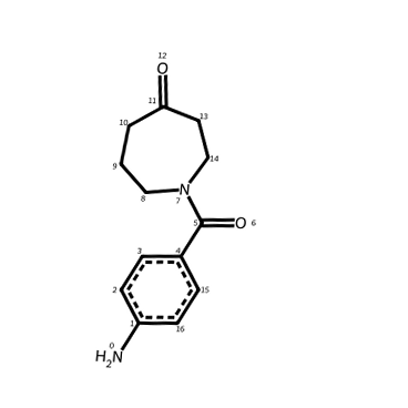 Nc1ccc(C(=O)N2CCCC(=O)CC2)cc1